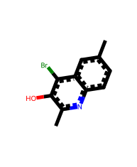 Cc1ccc2nc(C)c(O)c(Br)c2c1